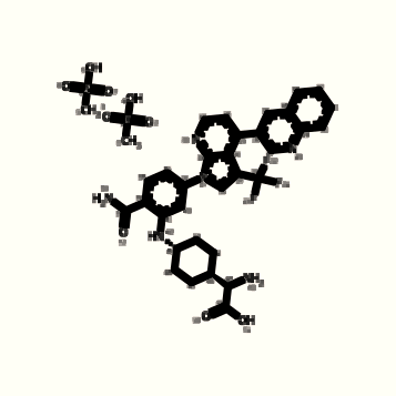 CS(=O)(=O)O.CS(=O)(=O)O.NC(=O)c1ccc(-n2cc(C(F)(F)F)c3c(-c4cnc5ccccc5c4)ccnc32)cc1N[C@H]1CC[C@H](C(N)C(=O)O)CC1